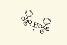 CCC(C)(COS(=O)(=O)c1ccccc1)COS(=O)(=O)c1ccccc1